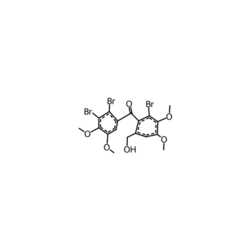 COc1cc(C(=O)c2c(CO)cc(OC)c(OC)c2Br)c(Br)c(Br)c1OC